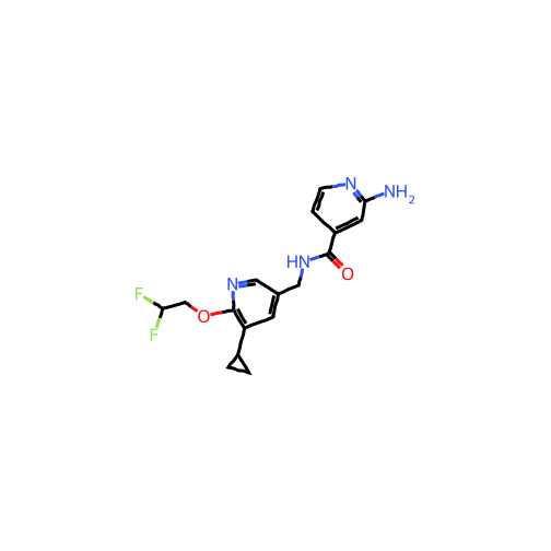 Nc1cc(C(=O)NCc2cnc(OCC(F)F)c(C3CC3)c2)ccn1